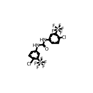 O=C(Nc1ccc(Cl)c(S(F)(F)(F)(F)F)c1)Nc1ccc(Cl)c(S(F)(F)(F)(F)F)c1